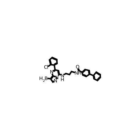 Bc1cnn2c(NCCCNC(=O)c3ccc(-c4ccccc4)cc3)cc(-c3ccccc3Cl)nc12